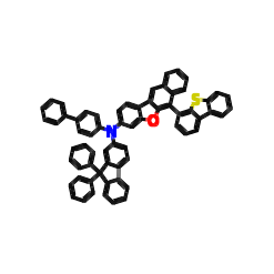 c1ccc(-c2ccc(N(c3ccc4c(c3)C(c3ccccc3)(c3ccccc3)c3ccccc3-4)c3ccc4c(c3)oc3c(-c5cccc6c5sc5ccccc56)c5ccccc5cc34)cc2)cc1